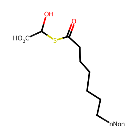 CCCCCCCCCCCCCCCC(=O)SC(O)C(=O)O